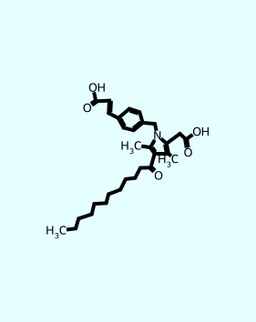 CCCCCCCCCCCC(=O)c1c(C)c(CC(=O)O)n(Cc2ccc(/C=C/C(=O)O)cc2)c1C